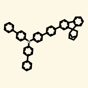 c1ccc(-c2ccc(N(c3ccc(-c4ccccc4)cc3)c3ccc(-c4ccc(-c5ccc6c(c5)C5(CC7CCC5C7)c5ccccc5-6)cc4)cc3)cc2)cc1